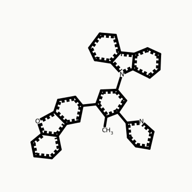 Cc1c(-c2ccc3oc4ccccc4c3c2)cc(-n2c3ccccc3c3ccccc32)cc1-c1ccccn1